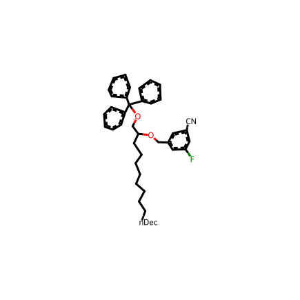 CCCCCCCCCCCCCCCCCCC(COC(c1ccccc1)(c1ccccc1)c1ccccc1)OCc1cc(F)cc(C#N)c1